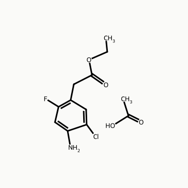 CC(=O)O.CCOC(=O)Cc1cc(Cl)c(N)cc1F